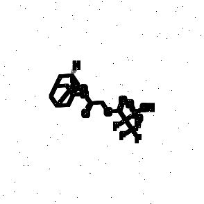 O=C(COC(=O)C(F)(C(F)(F)F)S(=O)(=O)O)OC12CC3CC(C1)C(=O)[C@@H](C3)C2